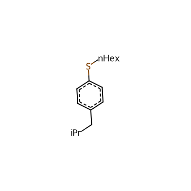 CCCCCCSc1ccc(CC(C)C)cc1